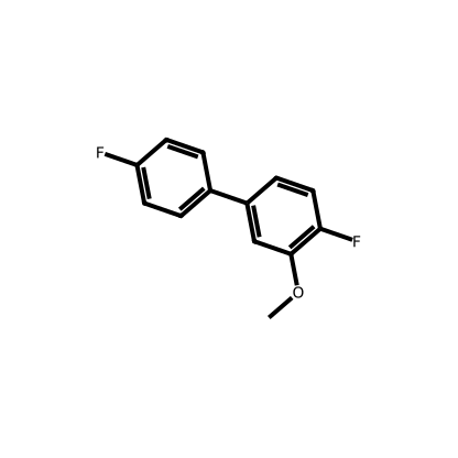 COc1cc(-c2ccc(F)cc2)ccc1F